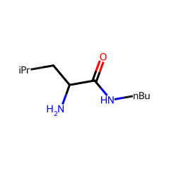 CCCCNC(=O)C(N)CC(C)C